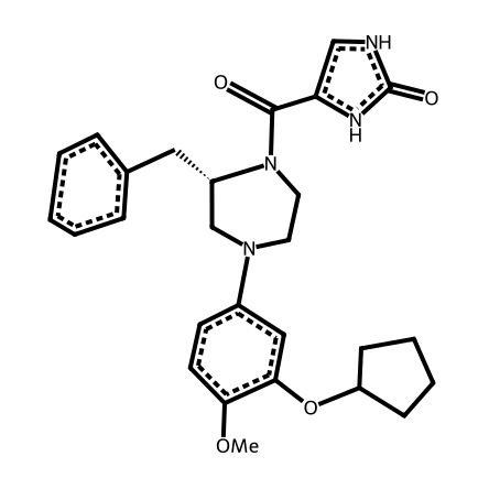 COc1ccc(N2CCN(C(=O)c3c[nH]c(=O)[nH]3)[C@@H](Cc3ccccc3)C2)cc1OC1CCCC1